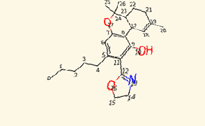 CCCCCc1cc2c(c(O)c1C1=NCCO1)C1C=C(C)CCC1C(C)(C)O2